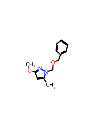 COc1cc(C)n(COCc2ccccc2)n1